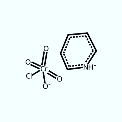 [O]=[Cr](=[O])(=[O])([O-])[Cl].c1cc[nH+]cc1